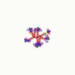 CC(=O)COCCOCOCC(COCCOCC(=O)NN[C@H](C(C)=O)C(C)C)(COCCOCC(=O)NN[C@H](C(C)=O)C(C)C)COCC(COCCOCC(=O)NN[C@H](C(C)=O)C(C)C)(COCCOCC(=O)NN[C@H](C(C)=O)C(C)C)COCC(COCCOCCSC1CC(=O)N(C(C)(C)C)C1=O)(COCCOCC(=O)NN[C@H](C(C)=O)C(C)C)COCCOCC(=O)NN[C@H](C(C)=O)C(C)C